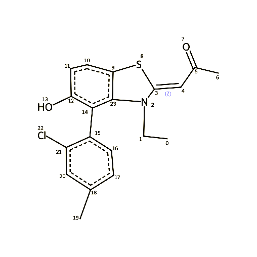 CCN1/C(=C/C(C)=O)Sc2ccc(O)c(-c3ccc(C)cc3Cl)c21